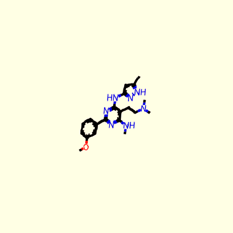 CNc1nc(-c2cccc(OC)c2)nc(Nc2cc(C)[nH]n2)c1CCN(C)C